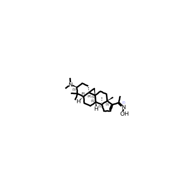 C/C(=N/O)C1=CC[C@@]2(C)[C@@H]3CC[C@H]4C(C)(C)[C@@H](N(C)C)CC[C@@]45C[C@@]35CC[C@]12C